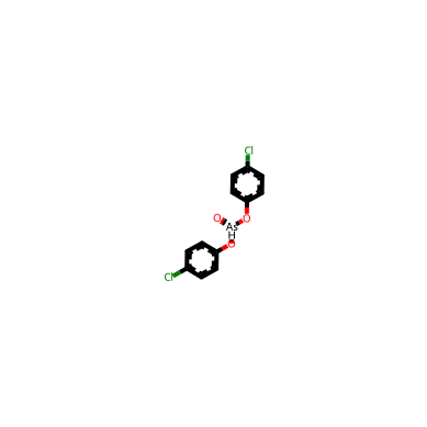 O=[AsH](Oc1ccc(Cl)cc1)Oc1ccc(Cl)cc1